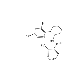 O=C(NC1CCCCC1c1ncc(C(F)(F)F)cc1Cl)c1ccccc1C(F)(F)F